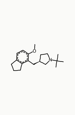 COc1ccc2c(c1C[C@H]1CCN(C(C)(C)C)C1)CCC2